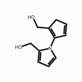 OCC1=C(n2cccc2CO)C=CC1